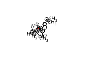 CN(C)C(=O)c1ccc2c(c1)CCc1cc(C(=O)N(C)C)ccc1C2(C[C@@H](NCC(=O)N1[C@H](C#N)C[C@@H]2C[C@@H]21)C1CCC1)c1nnn[nH]1